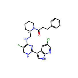 O=C(CCc1ccccc1)N1CCCC[C@@H]1CNC1=C(F)CNC(c2c[nH]c3ncc(Cl)cc23)=N1